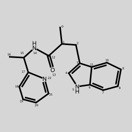 CC(Cc1c[nH]c2ccccc12)C(=O)NC(C)c1ccccn1